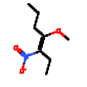 CCCC(OC)=C(CC)[N+](=O)[O-]